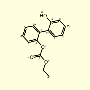 CCOC(=O)Oc1ccccc1-c1ccccc1O